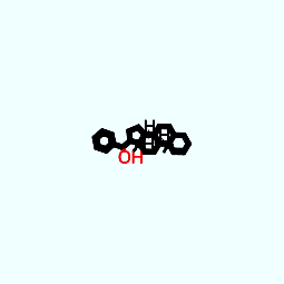 C[C@]12C=CCCC1CC[C@@H]1[C@H]2CC[C@]2(C)C(C(O)c3ccccc3)CC[C@@H]12